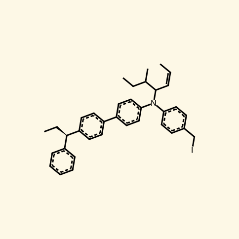 C/C=C\C(C(C)CC)N(c1ccc(CI)cc1)c1ccc(-c2ccc([C@H](CC)c3ccccc3)cc2)cc1